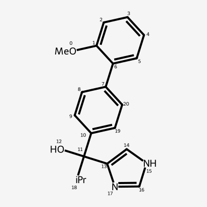 COc1ccccc1-c1ccc(C(O)(c2c[nH]cn2)C(C)C)cc1